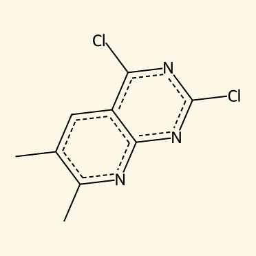 Cc1cc2c(Cl)nc(Cl)nc2nc1C